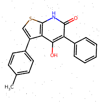 Cc1ccc(-c2csc3[nH]c(=O)c(-c4ccccc4)c(O)c23)cc1